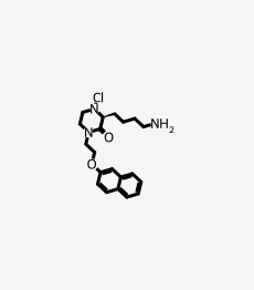 NCCCC[C@H]1C(=O)N(CCOc2ccc3ccccc3c2)CCN1Cl